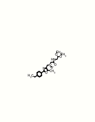 CCc1ccc(-c2nc(C[S+]([O-])CC(=O)NCC(OC)OC)c(C)o2)cc1